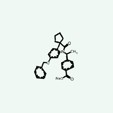 COC(=O)c1ccc(C(C)NC(=O)C2(c3ccc(OCc4ccccc4)cc3)CCCC2)cc1